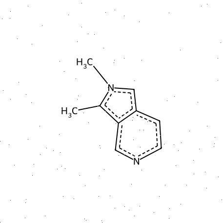 Cc1c2cnccc2cn1C